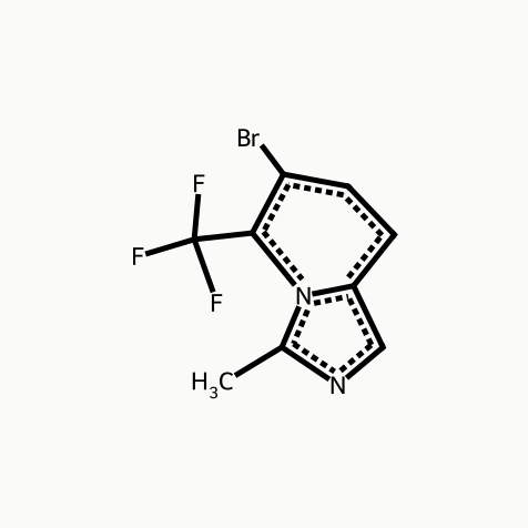 Cc1ncc2ccc(Br)c(C(F)(F)F)n12